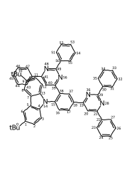 CC(C)(C)c1ccc2c(c1)c1cc(C(C)(C)C)ccc1n2-c1ccc(-c2cc(-c3ccccc3)nc(-c3ccccc3)n2)cc1-c1cc(-c2ccccc2)nc(-c2ccccc2)n1